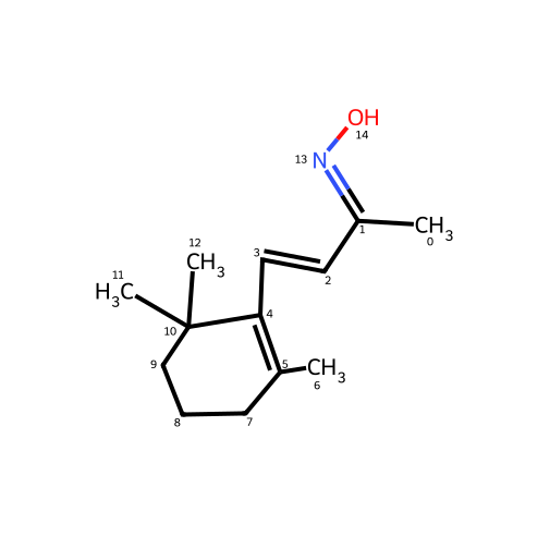 CC(/C=C/C1=C(C)CCCC1(C)C)=NO